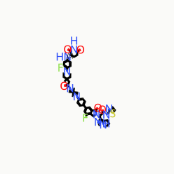 CC1(CC(=O)N2CC3(C2)CN(c2ccc(-c4cc(F)c5c(c4)C(=O)N(C(C(=O)Nc4nccs4)c4ncn6c4CCC6)C5)cc2)C3)CCN(c2ccc(N[C@H]3CCC(=O)NC3=O)cc2F)CC1